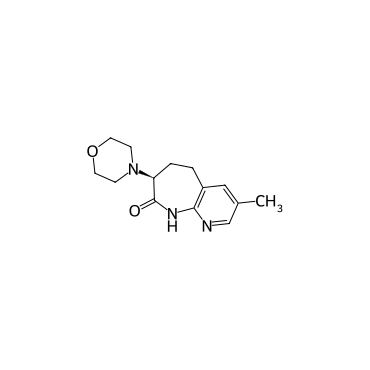 Cc1cnc2c(c1)CC[C@H](N1CCOCC1)C(=O)N2